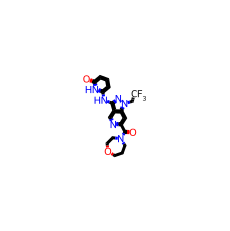 O=C(c1cc2c(cn1)c(Nc1cccc(=O)[nH]1)nn2CC(F)(F)F)N1CCCOCC1